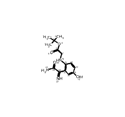 CC(C)(C)OC(=O)CNc1ccc(O)cc1C(=N)C(N)=O